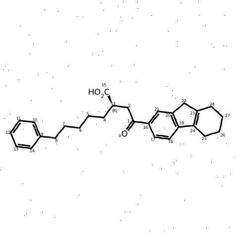 O=C(C[C@@H](CCCCCc1ccccc1)C(=O)O)c1ccc2c(c1)CC1=C2CCCC1